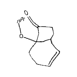 CCCOC12CCC=CC1CC2=O